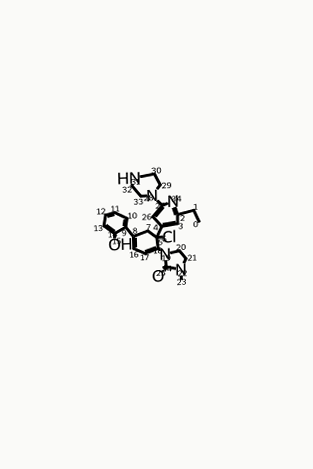 CCc1cc(C2(Cl)CC(c3ccccc3O)=CC=C2N2CCN(C)C2=O)cc(N2CCNCC2)n1